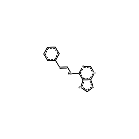 C(=Cc1ccccc1)Nc1ncnc2nc[nH]c12